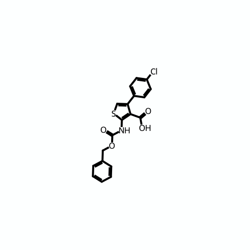 O=C(Nc1scc(-c2ccc(Cl)cc2)c1C(=O)O)OCc1ccccc1